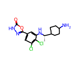 C[C@H](Nc1cc(-c2n[nH]c(=O)o2)cc(Cl)c1Cl)C1CCC(N)CC1